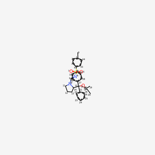 Cc1ccc(S(=O)(=O)N=CN2CCCC2C(O[Si](C)(C)C)(c2ccccc2)c2ccccc2)cc1